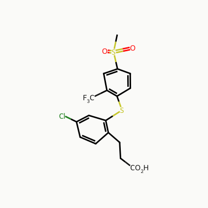 CS(=O)(=O)c1ccc(Sc2cc(Cl)ccc2CCC(=O)O)c(C(F)(F)F)c1